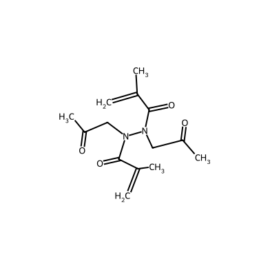 C=C(C)C(=O)N(CC(C)=O)N(CC(C)=O)C(=O)C(=C)C